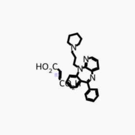 O=C(O)/C=C/C(=O)O.c1ccc(C2=Nc3cccnc3N(CCCN3CCCCC3)c3ccccc32)cc1